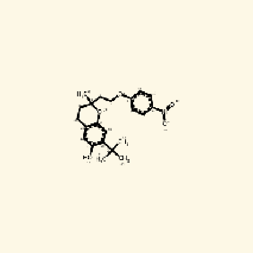 CC1(CCOc2ccc([N+](=O)[O-])cc2)CCc2cc(O)c(C(C)(C)C)cc2O1